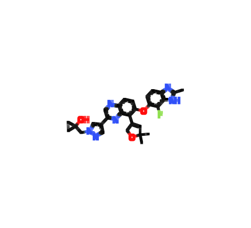 Cc1nc2ccc(Oc3ccc4ncc(-c5cnn(CC6(O)CC6)c5)nc4c3C3=CC(C)(C)OC3)c(F)c2[nH]1